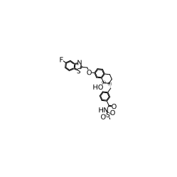 CS(=O)(=O)NC(=O)c1cccc(C[C@H]2CCc3ccc(OCc4nc5cc(F)ccc5s4)cc3[C@H]2O)c1